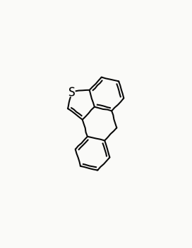 c1ccc2c(c1)Cc1cccc3scc-2c13